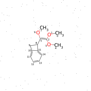 COC(OC)=C(OC)C1Cc2ccccc21